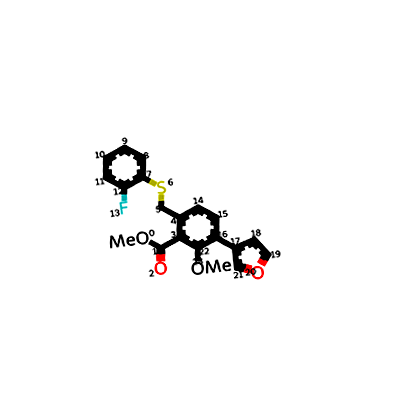 COC(=O)c1c(CSc2ccccc2F)ccc(-c2ccoc2)c1OC